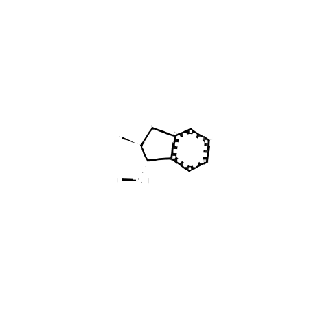 CC(C)N[C@H]1c2ccccc2C[C@@H]1O